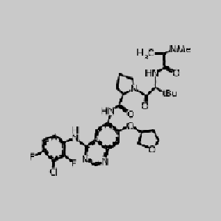 CNC(C)C(=O)NC(C(=O)N1CCCC1C(=O)Nc1cc2c(Nc3ccc(F)c(Cl)c3F)ncnc2cc1OC1CCOC1)C(C)(C)C